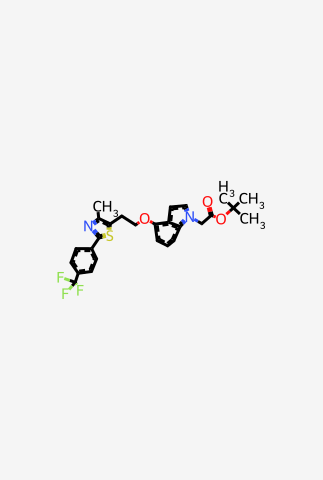 Cc1nc(-c2ccc(C(F)(F)F)cc2)sc1CCOc1cccc2c1ccn2CC(=O)OC(C)(C)C